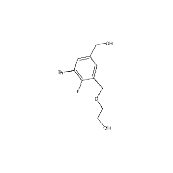 CC(C)c1cc(CO)cc(COCCO)c1F